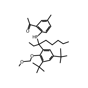 CCCCCC(CC)(Pc1ccc(C)cc1C(C)=O)c1cc(C(C)(C)C)cc(C(C)(C)C)c1OCOC